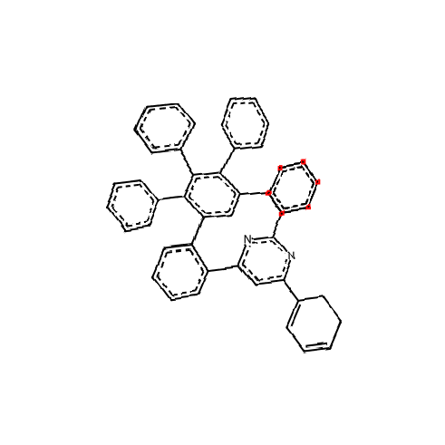 C1=CCCC(c2cc(-c3ccccc3-c3cc(-c4ccccc4)c(-c4ccccc4)c(-c4ccccc4)c3-c3ccccc3)nc(-c3ccccc3)n2)=C1